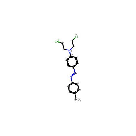 O=[N+]([O-])c1ccc(/N=N/c2ccc(N(CCCl)CCCl)cc2)cc1